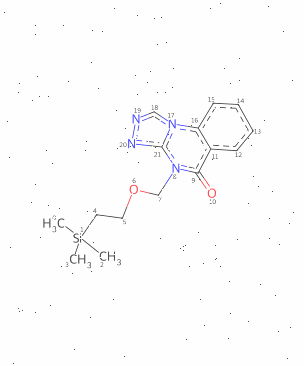 C[Si](C)(C)CCOCn1c(=O)c2ccccc2n2cnnc12